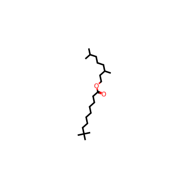 CC(C)CCCC(C)CCOC(=O)CCCCCCCC(C)(C)C